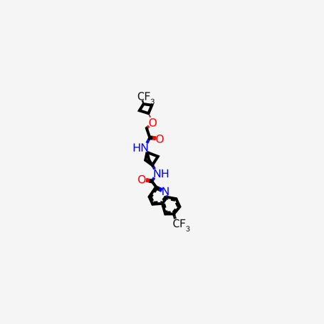 O=C(CO[C@H]1C[C@H](C(F)(F)F)C1)NC12CC(NC(=O)c3ccc4cc(C(F)(F)F)ccc4n3)(C1)C2